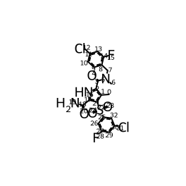 Cc1c(C(=O)N(C)Cc2ccc(Cl)cc2F)[nH]c(C(N)=O)c1S(=O)(=O)c1cc(F)cc(Cl)c1